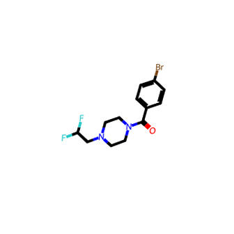 O=C(c1ccc(Br)cc1)N1CCN(CC(F)F)CC1